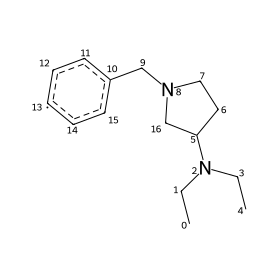 CCN(CC)C1CCN(Cc2cc[c]cc2)C1